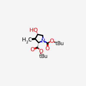 C=C1[C@@H](C(=O)OC(C)(C)C)N(C(=O)OC(C)(C)C)C[C@H]1O